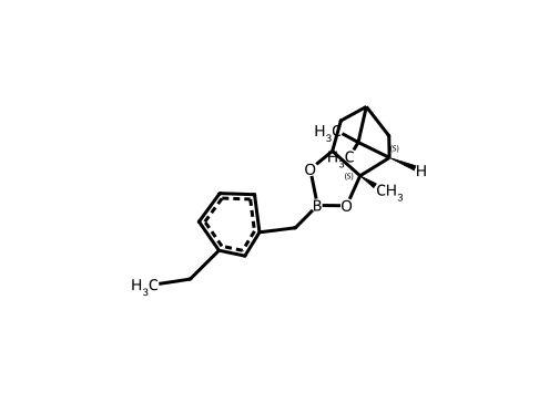 CCc1cccc(CB2OC3CC4C[C@@H](C4(C)C)[C@]3(C)O2)c1